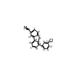 N#Cc1ccc2sc3c(-c4cccc(Cl)c4)cccc3c2c1